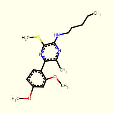 CCCCCNc1nc(C)c(-c2ccc(OC)cc2OC)nc1SC